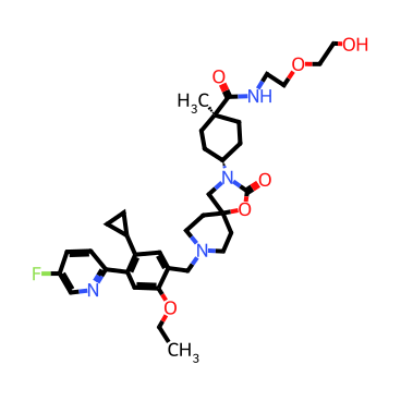 CCOc1cc(-c2ccc(F)cn2)c(C2CC2)cc1CN1CCC2(CC1)CN([C@H]1CC[C@](C)(C(=O)NCCOCCO)CC1)C(=O)O2